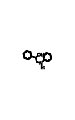 CCN(CC(O)c1ccccc1)c1ccccc1